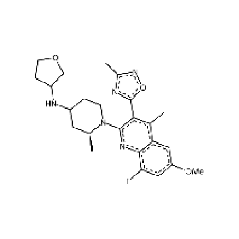 COc1cc(F)c2nc(N3CCC(NC4CCOC4)C[C@@H]3C)c(-c3nc(C)no3)c(C)c2c1